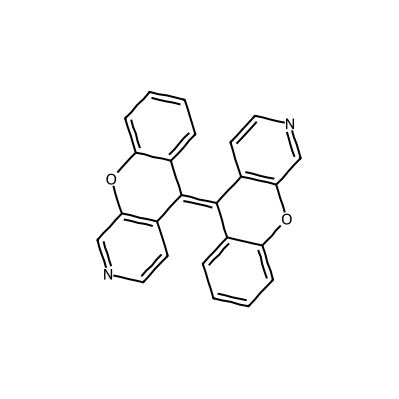 c1ccc2c(c1)Oc1cnccc1/C2=C1\c2ccccc2Oc2cnccc21